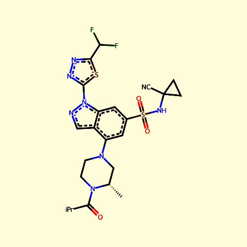 CC(C)C(=O)N1CCN(c2cc(S(=O)(=O)NC3(C#N)CC3)cc3c2cnn3-c2nnc(C(F)F)s2)C[C@@H]1C